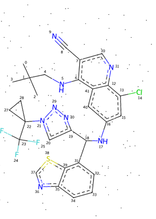 CC(C)(C)CNc1c(C#N)cnc2c(Cl)cc(NC(c3cn(C4(C(F)(F)F)CC4)nn3)c3cccc4ncsc34)cc12